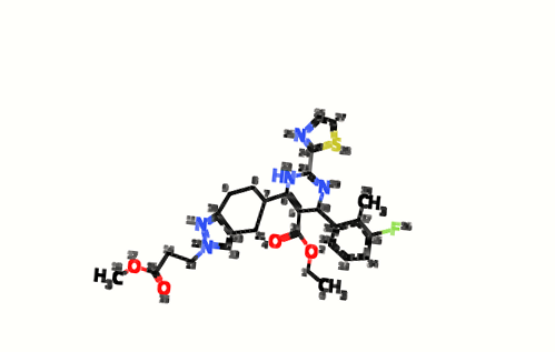 CCOC(=O)C1=C(C2CCc3nn(CCC(=O)OC)cc3C2)NC(c2nccs2)=NC1c1cccc(F)c1C